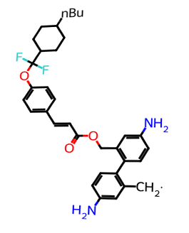 [CH2]c1cc(N)ccc1-c1ccc(N)cc1COC(=O)/C=C/c1ccc(OC(F)(F)C2CCC(CCCC)CC2)cc1